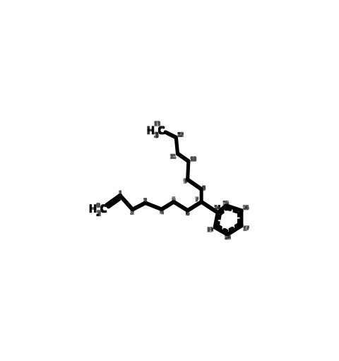 C=CCCCCCC(CCCCCC)c1ccccc1